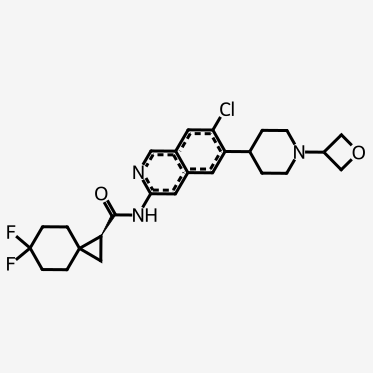 O=C(Nc1cc2cc(C3CCN(C4COC4)CC3)c(Cl)cc2cn1)[C@H]1CC12CCC(F)(F)CC2